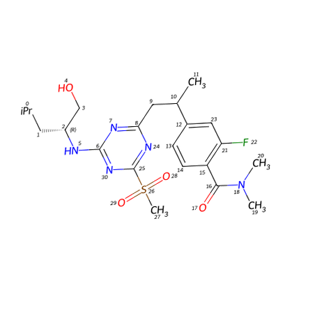 CC(C)C[C@H](CO)Nc1nc(CC(C)c2ccc(C(=O)N(C)C)c(F)c2)nc(S(C)(=O)=O)n1